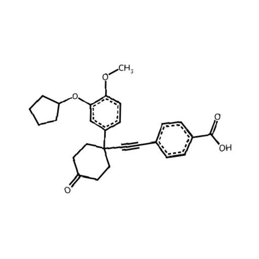 COc1ccc(C2(C#Cc3ccc(C(=O)O)cc3)CCC(=O)CC2)cc1OC1CCCC1